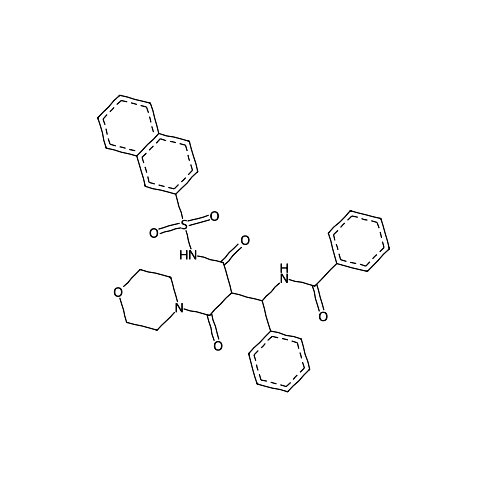 O=C(NC(c1ccccc1)C(C(=O)NS(=O)(=O)c1ccc2ccccc2c1)C(=O)N1CCOCC1)c1ccccc1